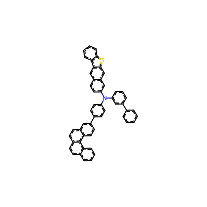 c1ccc(-c2cccc(N(c3ccc(-c4ccc5c(ccc6ccc7ccccc7c65)c4)cc3)c3ccc4cc5c(cc4c3)sc3ccccc35)c2)cc1